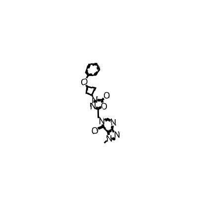 Cn1cnc2ncn(Cc3nn(C4CC(Oc5ccccc5)C4)c(=O)o3)c(=O)c21